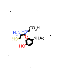 CC(=O)Nc1ccc(O)cc1.NC(CS)C(=O)NCC(=O)O